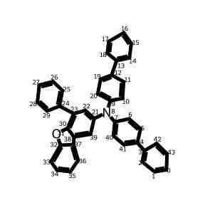 c1ccc(-c2ccc(N(c3ccc(-c4ccccc4)cc3)c3cc(-c4ccccc4)c4oc5ccccc5c4c3)cc2)cc1